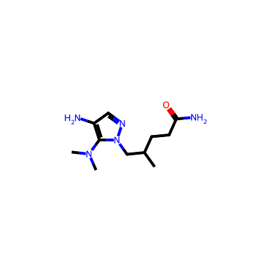 CC(CCC(N)=O)Cn1ncc(N)c1N(C)C